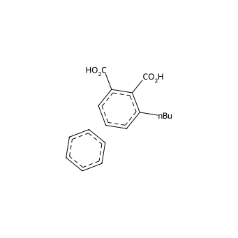 CCCCc1cccc(C(=O)O)c1C(=O)O.c1ccccc1